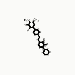 C=C/C=C(\C(F)=C(\F)CC)c1ccc(CCc2ccc(C3=CCCCC3)c(F)c2F)cc1